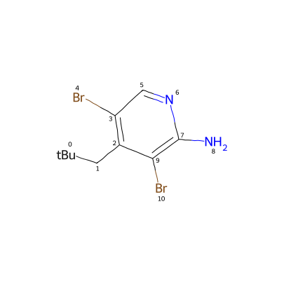 CC(C)(C)Cc1c(Br)cnc(N)c1Br